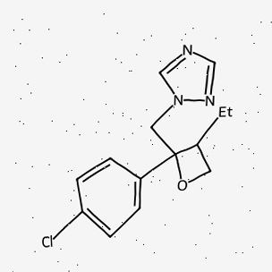 CCC1COC1(Cn1cncn1)c1ccc(Cl)cc1